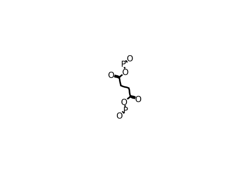 O=POC(=O)CCC(=O)OP=O